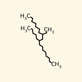 CCCCCCCCC(CCCCC)CC(CC)CCCCCCC